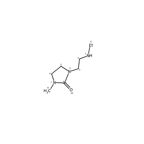 CCNCCN1CCN(C)C1=O